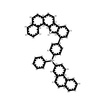 c1ccc(N(c2ccc(-c3cccc4c3oc3c4ccc4ccc5ccccc5c43)cc2)c2ccc3c(ccc4ccccc43)c2)cc1